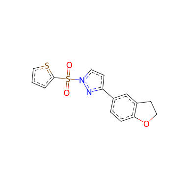 O=S(=O)(c1cccs1)n1ccc(-c2ccc3c(c2)CCO3)n1